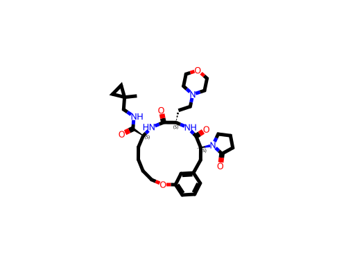 CC1(CNC(=O)[C@@H]2CCCCOc3cccc(c3)C[C@H](N3CCCC3=O)C(=O)N[C@@H](CCN3CCOCC3)C(=O)N2)CC1